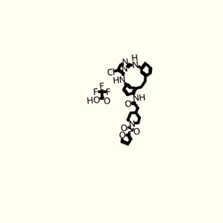 O=C(CC1CCN(S(=O)(=O)c2ccco2)CC1)Nc1ccc2cc1CCc1cccc(c1)Nc1ncc(Cl)c(n1)N2.O=C(O)C(F)(F)F